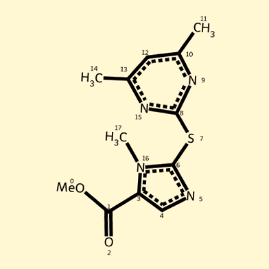 COC(=O)c1cnc(Sc2nc(C)cc(C)n2)n1C